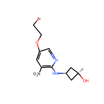 C[C@]1(O)C[C@@H](Nc2ncc(OCCBr)cc2[N+](=O)[O-])C1